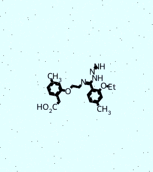 CCOc1cc(C)ccc1/C(=N\CCOc1cc(C)ccc1CC(=O)O)NN=N